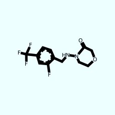 O=C1COCCN1NCc1ccc(C(F)(F)F)cc1F